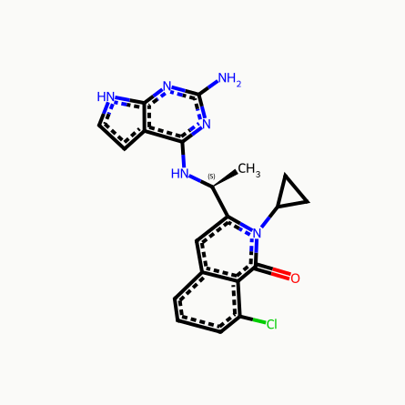 C[C@H](Nc1nc(N)nc2[nH]ccc12)c1cc2cccc(Cl)c2c(=O)n1C1CC1